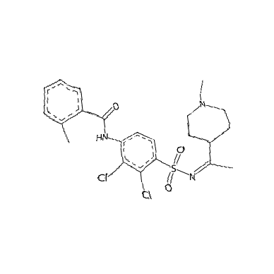 C/C(=N/S(=O)(=O)c1ccc(NC(=O)c2ccccc2C)c(Cl)c1Cl)C1CCN(C)CC1